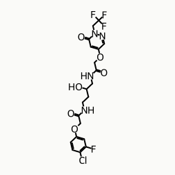 O=C(COc1ccc(Cl)c(F)c1)NCCC(O)CNC(=O)COc1cnn(CC(F)(F)F)c(=O)c1